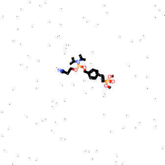 COP(=O)(/C=C/c1ccc(COP(OCCC#N)N(C(C)C)C(C)C)cc1)OC